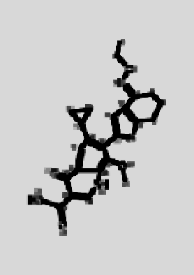 CCO/N=C1\CCCc2sc(-c3c(C4CC4)cc4c(=O)c(C(=O)O)c[nH]c4c3OC)cc21